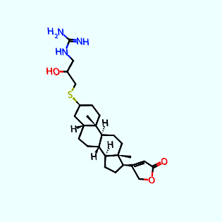 C[C@]12CC[C@H](SCC(O)CNC(=N)N)C[C@H]1CC[C@@H]1[C@@H]2CC[C@]2(C)[C@@H](C3=CC(=O)OC3)CC[C@@H]12